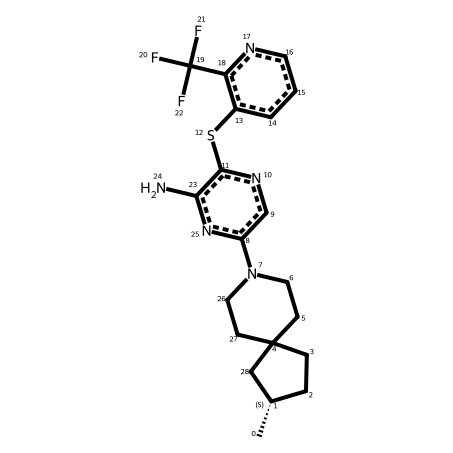 C[C@H]1CCC2(CCN(c3cnc(Sc4cccnc4C(F)(F)F)c(N)n3)CC2)C1